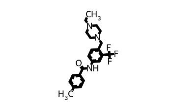 CCN1CCN(Cc2ccc(NC(=O)c3ccc(C)cc3)cc2C(F)(F)F)CC1